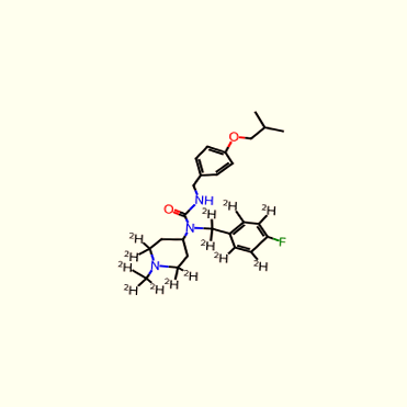 [2H]c1c([2H])c(C([2H])([2H])N(C(=O)NCc2ccc(OCC(C)C)cc2)C2CC([2H])([2H])N(C([2H])([2H])[2H])C([2H])([2H])C2)c([2H])c([2H])c1F